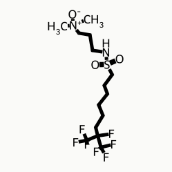 C[N+](C)([O-])CCCNS(=O)(=O)CCCCCCC(F)(C(F)(F)F)C(F)(F)F